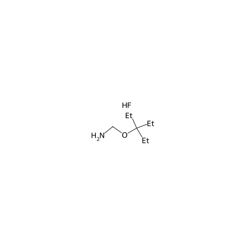 CCC(CC)(CC)OCN.F